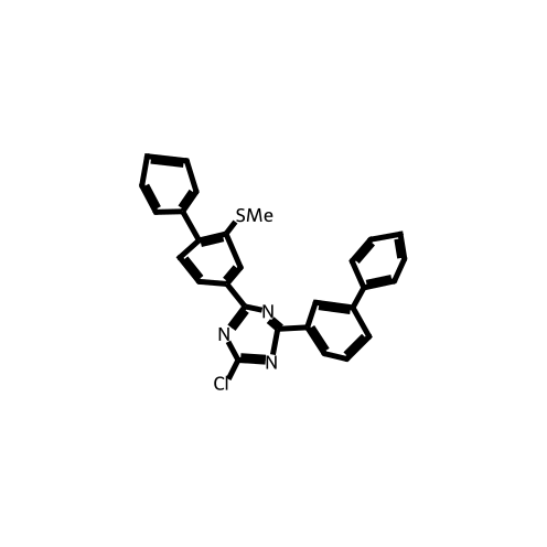 CSc1cc(-c2nc(Cl)nc(-c3cccc(-c4ccccc4)c3)n2)ccc1-c1ccccc1